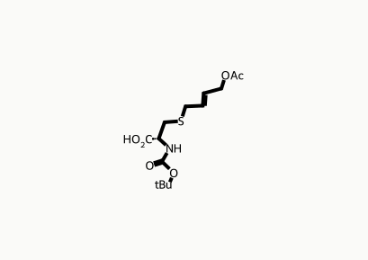 CC(=O)OCC=CCSC[C@H](NC(=O)OC(C)(C)C)C(=O)O